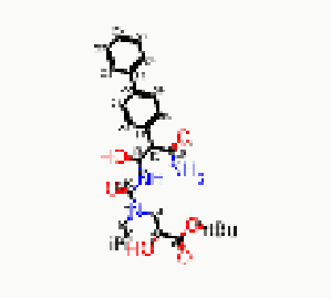 CC(C)CN(CC(O)C(=O)OC(C)(C)C)C(=O)NC(O)C(C(N)=O)c1ccc(-c2ccccc2)cc1